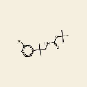 CC(C)(C)OC(=O)NCC(C)(C)c1cccc(Br)c1